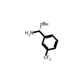 CCCC[C@@H](N)c1cccc(C(F)(F)F)c1